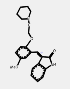 COc1ccc(OCCN2CCCCC2)c(/C=C2/C(=O)Nc3ccccc32)c1